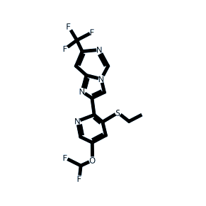 CCSc1cc(OC(F)F)cnc1-c1cn2cnc(C(F)(F)F)cc2n1